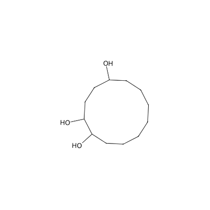 OC1CCCCCCCC(O)C(O)CC1